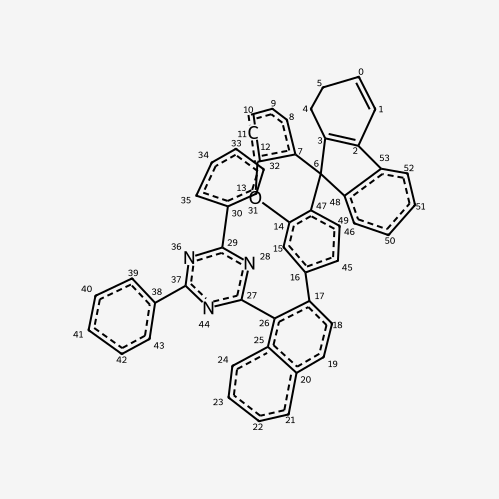 C1=CC2=C(CC1)C1(c3ccccc3Oc3cc(-c4ccc5ccccc5c4-c4nc(-c5ccccc5)nc(-c5ccccc5)n4)ccc31)c1ccccc12